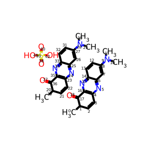 CC1C=Cc2nc3cc(N(C)C)ccc3nc2C1=O.CC1C=Cc2nc3cc(N(C)C)ccc3nc2C1=O.O=S(=O)(O)O